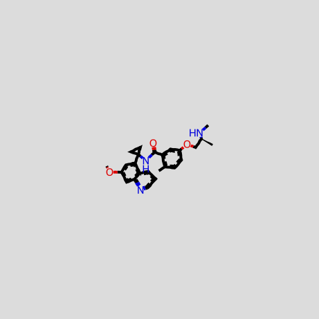 CN[C@@H](C)COc1ccc(C)c(C(=O)NC2(c3cc(OC)cc4ncccc34)CC2)c1